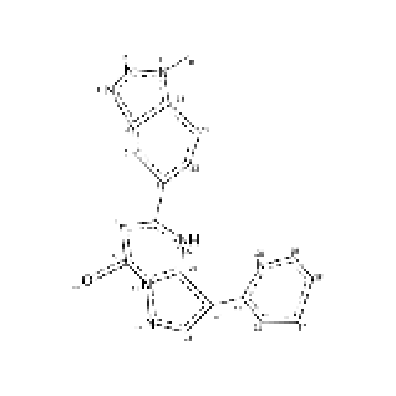 Cn1nnc2cc(-c3cc(=O)n4ncc(-c5ccccn5)c4[nH]3)ccc21